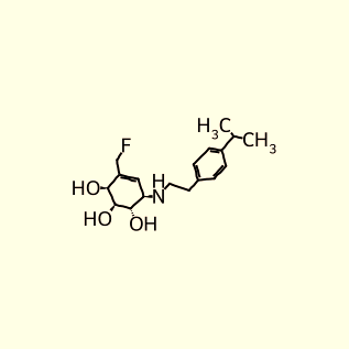 CC(C)c1ccc(CCN[C@@H]2C=C(CF)[C@H](O)[C@H](O)[C@H]2O)cc1